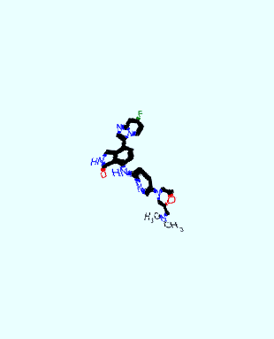 CN(C)CC1CN(c2ccc(Nc3ccc(-c4cnc5cc(F)ccn45)c4c3C(=O)NC4)nc2)CCO1